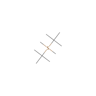 CC(C)(C)S(C)(C)C(C)(C)C